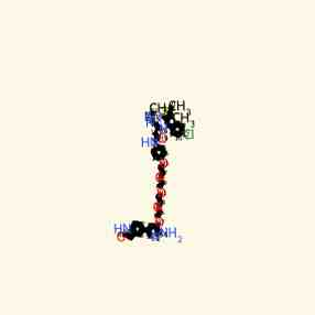 Cc1sc2c(c1C)C(c1ccc(Cl)cc1)=N[C@@H](CC(=O)Nc1ccc(OCCOCCOCCOCCOc3cc(-c4ccc5c(c4)CC(=O)N5)cnc3N)cc1)c1nnc(C)n1-2